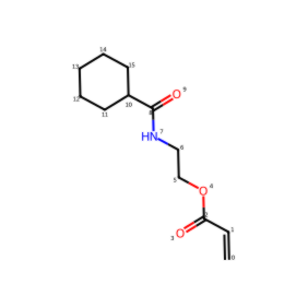 C=CC(=O)OCCNC(=O)C1CCCCC1